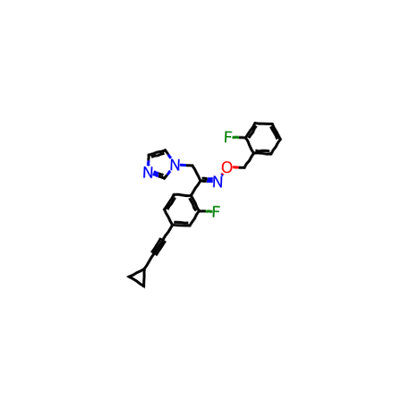 Fc1ccccc1CO/N=C(\Cn1ccnc1)c1ccc(C#CC2CC2)cc1F